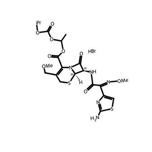 Br.COCC1=C(C(=O)OC(C)OC(=O)OC(C)C)N2C(=O)[C@@H](NC(=O)C(=NOC)c3csc(N)n3)[C@H]2SC1